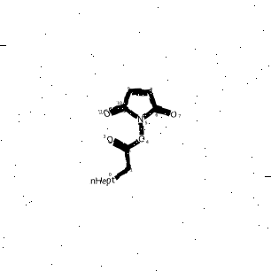 CCCCCCCCC(=O)ON1C(=O)C=CC1=O